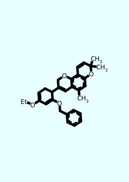 CCOC1=CCC(C2=Cc3c(C)cc4c(c3OC2)C=CC(C)(C)O4)C(OCc2ccccc2)=C1